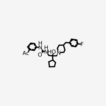 CC(=O)c1cccc(NC(=O)NCC(O)(CN2CCC(Cc3ccc(F)cc3)CC2)C2CCCC2)c1